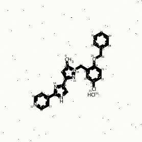 Cc1cc(-c2c[nH]c(-c3ccncc3)n2)nn1Cc1cc(Cl)ccc1OCc1ccccc1.Cl